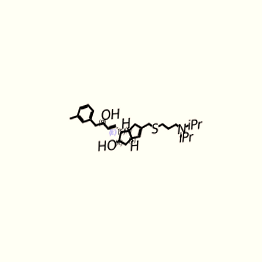 Cc1cccc(C[C@H](O)/C=C/[C@@H]2[C@H]3CC(CSCCCN(C(C)C)C(C)C)=C[C@H]3C[C@H]2O)c1